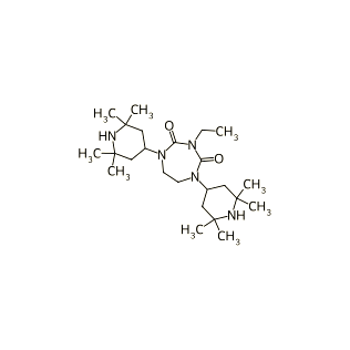 CCN1C(=O)N(C2CC(C)(C)NC(C)(C)C2)CCN(C2CC(C)(C)NC(C)(C)C2)C1=O